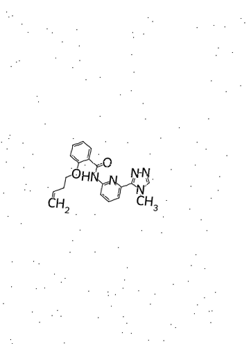 C=CCCOc1ccccc1C(=O)Nc1cccc(-c2nncn2C)n1